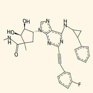 CNC(=O)C1(C)C[C@@H](n2cnc3c(NC4CC4c4ccccc4)nc(C#Cc4cccc(F)c4)nc32)[C@H](O)[C@@H]1O